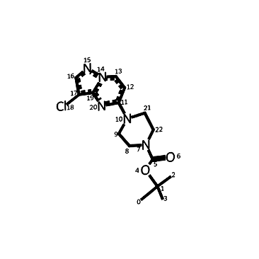 CC(C)(C)OC(=O)N1CCN(c2ccn3ncc(Cl)c3n2)CC1